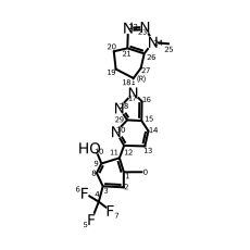 Cc1cc(C(F)(F)F)cc(O)c1-c1ccc2cn([C@@H]3CCc4nnn(C)c4C3)nc2n1